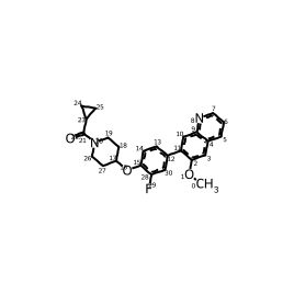 COc1cc2cccnc2cc1-c1ccc(OC2CCN(C(=O)C3CC3)CC2)c(F)c1